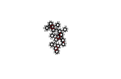 Nc1c(-c2cc(N(c3cc(-c4ccccc4)cc(-c4ccccc4)c3)c3ccccc3-c3ccccc3)cc(-n3c4ccccc4c4ccccc43)c2)cccc1-c1cc(N(c2cc(-c3ccccc3)cc(-c3ccccc3)c2)c2ccccc2-c2ccccc2)cc(-n2c3ccccc3c3ccccc32)c1